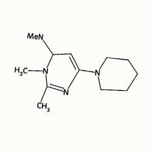 CNC1C=C(N2CCCCC2)N=C(C)N1C